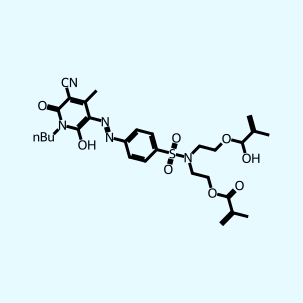 C=C(C)C(=O)OCCN(CCOC(O)C(=C)C)S(=O)(=O)c1ccc(/N=N/c2c(C)c(C#N)c(=O)n(CCCC)c2O)cc1